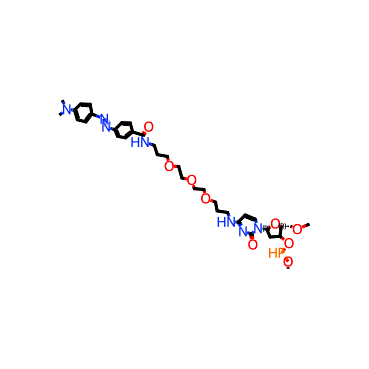 COC[C@H]1O[C@@H](n2ccc(NCCCOCCOCCOCCCNC(=O)c3ccc(/N=N/c4ccc(N(C)C)cc4)cc3)nc2=O)CC1OPOC